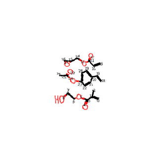 C=C(C)C(=O)OCCO.C=CC(=O)OCC1CO1.C=Cc1ccc(OC(C)=O)cc1